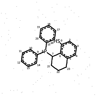 Sc1cccc2c1C(P(c1ccccc1)c1ccccc1)CCC2